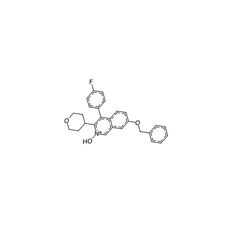 O[n+]1cc2cc(OCc3ccccc3)ccc2c(-c2ccc(F)cc2)c1C1CCOCC1